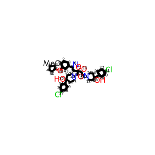 COc1ccc(C2=NOC(C(=O)CN3CCC(O)(c4ccc(Cl)cc4)CC3)(C(=O)N3CCC(O)(c4ccc(Cl)cc4)CC3)C2)cc1OC1CCCC1